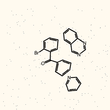 O=C(c1ccccc1)c1ccccc1Br.c1ccc2ncncc2c1.c1ccncc1